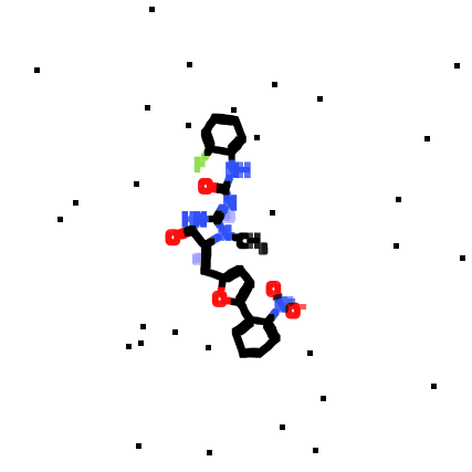 CN1/C(=C\c2ccc(-c3ccccc3[N+](=O)[O-])o2)C(=O)N/C1=N\C(=O)Nc1ccccc1F